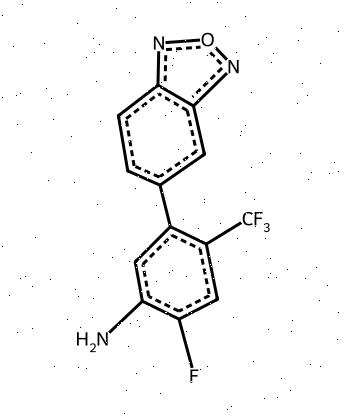 Nc1cc(-c2ccc3nonc3c2)c(C(F)(F)F)cc1F